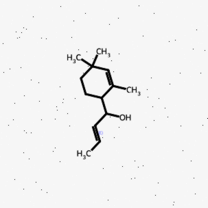 C/C=C/C(O)C1CCC(C)(C)C=C1C